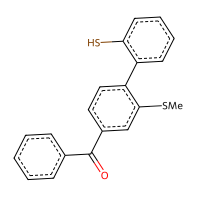 CSc1cc(C(=O)c2ccccc2)ccc1-c1ccccc1S